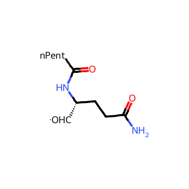 CCCCCC(=O)N[C@@H]([C]=O)CCC(N)=O